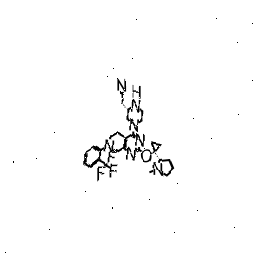 CN1CCC[C@H]1C1(Oc2nc3c(c(N4CCN[C@@H](CC#N)C4)n2)CCN(c2ccccc2C(F)(F)F)C3)CC1